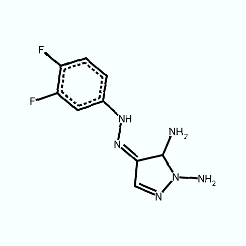 NC1C(=NNc2ccc(F)c(F)c2)C=NN1N